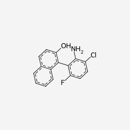 Nc1c(Cl)ccc(F)c1-c1c(O)ccc2ccccc12